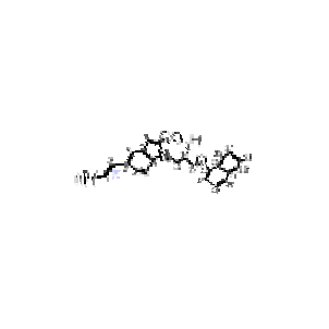 CCC/C=C/c1ccc2c(c1)cc(C(=O)O)n2CCCOc1cccc2ccccc12